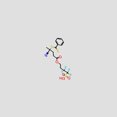 CC(C#N)(CCC(=O)OCCC(F)(F)C(F)(F)S(=O)(=O)O)SC(=S)c1ccccc1